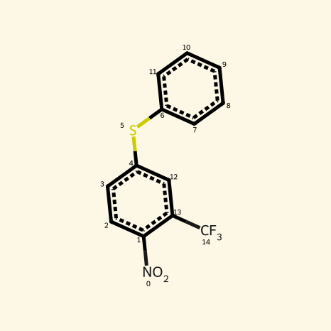 O=[N+]([O-])c1ccc(Sc2ccccc2)cc1C(F)(F)F